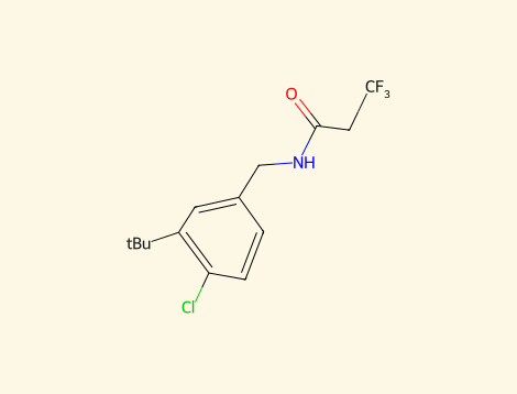 CC(C)(C)c1cc(CNC(=O)CC(F)(F)F)ccc1Cl